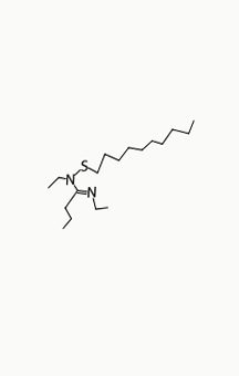 CCCCCCCCCCSN(CC)C(CCC)=NCC